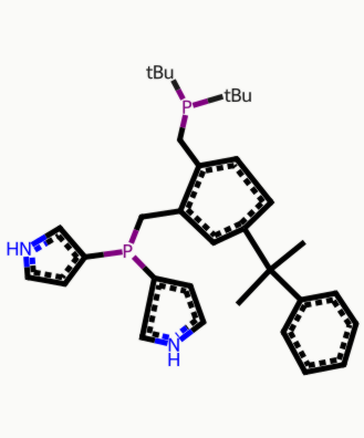 CC(C)(c1ccccc1)c1ccc(CP(C(C)(C)C)C(C)(C)C)c(CP(c2cc[nH]c2)c2cc[nH]c2)c1